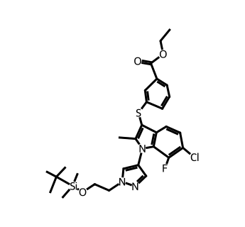 CCOC(=O)c1cccc(Sc2c(C)n(-c3cnn(CCO[Si](C)(C)C(C)(C)C)c3)c3c(F)c(Cl)ccc23)c1